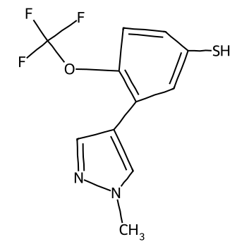 Cn1cc(-c2cc(S)ccc2OC(F)(F)F)cn1